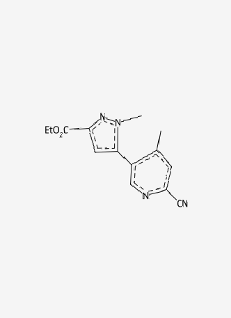 CCOC(=O)c1cc(-c2cnc(C#N)cc2C)n(C)n1